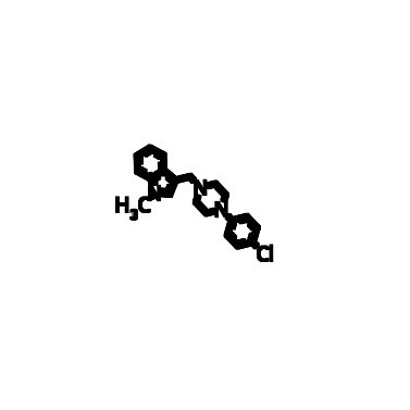 Cn1cc(CN2CCN(c3ccc(Cl)cc3)CC2)c2ccccc21